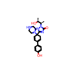 C[C@H](O)[C@@H](C)n1[nH]c(C2(N3CCNCC3)C=CC(c3ccc(O)cc3)=CC2)nc1=O